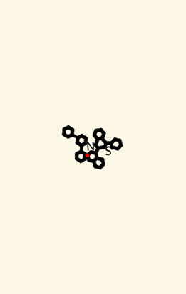 c1ccc(-c2ccc(-n3c4ccc5ccccc5c4c4c5sc6ccccc6c5c5ccccc5c43)c(-c3ccccc3)c2)cc1